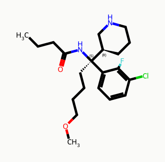 CCCC(=O)N[C@](CCCCOC)(c1cccc(Cl)c1F)[C@@H]1CCCNC1